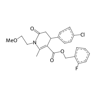 COCCN1C(=O)CC(c2ccc(Cl)cc2)C(C(=O)OCc2ccccc2F)=C1C